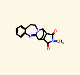 CN1C(=O)C2C3CCC(C2C1=O)N1CCc2ccccc2N=C31